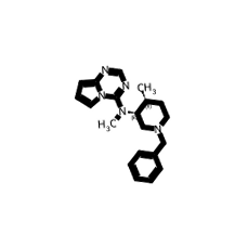 C[C@@H]1CCN(Cc2ccccc2)C[C@@H]1N(C)c1ncnc2cccn12